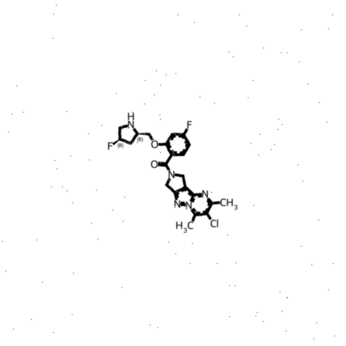 Cc1nc2c3c(nn2c(C)c1Cl)CN(C(=O)c1ccc(F)cc1OC[C@H]1C[C@@H](F)CN1)C3